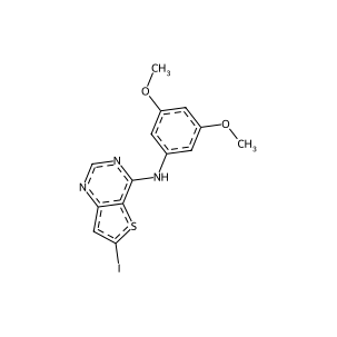 COc1cc(Nc2ncnc3cc(I)sc23)cc(OC)c1